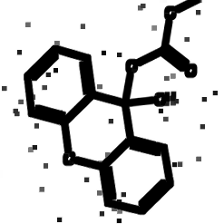 COC(=O)OC1(O)c2ccccc2Oc2ccccc21